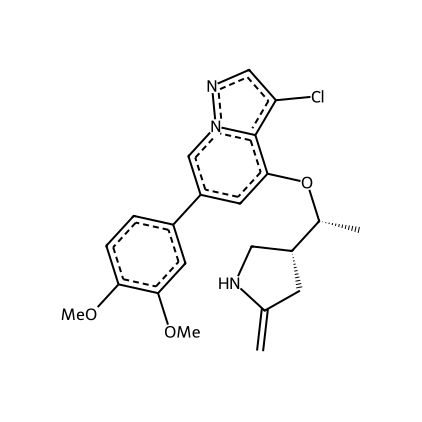 C=C1C[C@@H]([C@@H](C)Oc2cc(-c3ccc(OC)c(OC)c3)cn3ncc(Cl)c23)CN1